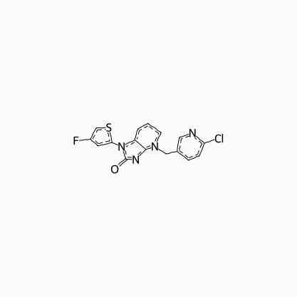 O=c1nc2n(Cc3ccc(Cl)nc3)cccc-2n1-c1cc(F)cs1